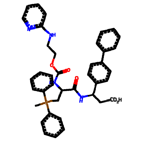 CS(CC(NC(=O)OCCNc1ccccn1)C(=O)NC(CC(=O)O)c1ccc(-c2ccccc2)cc1)(c1ccccc1)c1ccccc1